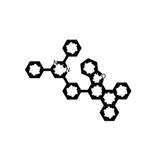 c1ccc(-c2cc(-c3cccc(-c4cc5c6ccccc6c6ccccc6c5c5oc6ccccc6c45)c3)nc(-c3ccccc3)n2)cc1